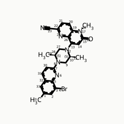 Cc1cc(Br)c2nc(N3C[C@H](C)N(c4cc(=O)n(C)c5ccc(C#N)nc45)C[C@@H]3C)ccc2c1